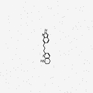 c1cc2c[nH]nc2cc1CCCc1ccc2c(n1)NCCC2